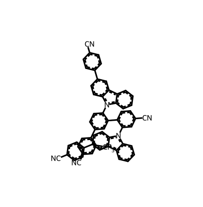 N#Cc1ccc(-c2ccc3c(c2)c2ccccc2n3-c2ccc(-c3ccc(C#N)cc3C(F)(F)F)cc2-c2ccc(C#N)cc2-n2c3ccccc3c3cc(-c4ccc(C#N)cc4)ccc32)cc1